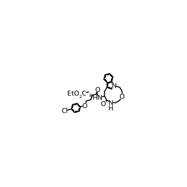 CCOC(=O)C[C@@H](CCOc1ccc(Cl)cc1)C(=O)NC1Cc2cn(c3ccccc23)CCOCCNC1=O